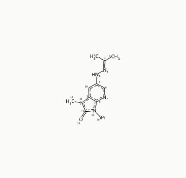 CC(C)=NNc1cnc2c(c1)n(C)c(=O)n2C(C)C